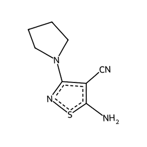 N#Cc1c(N2CCCC2)nsc1N